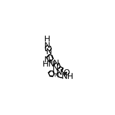 O=C1NCC[C@H](c2ccccc2)n2c1cc1cnc(Nc3ccc(N4CCNCC4)cn3)nc12